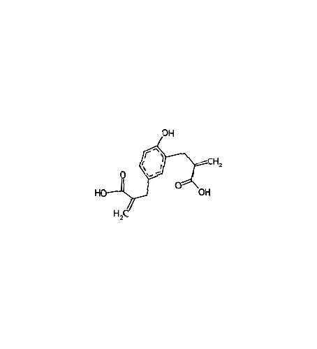 C=C(Cc1ccc(O)c(CC(=C)C(=O)O)c1)C(=O)O